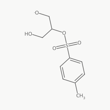 Cc1ccc(S(=O)(=O)OC(C[O])CO)cc1